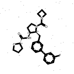 O=C(N[C@H]1CCN(C(=O)N2CCC2)[C@H]1Cc1cccc(-c2cccc(F)c2)c1)[C@@H]1CCCO1